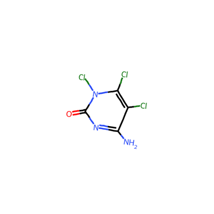 Nc1nc(=O)n(Cl)c(Cl)c1Cl